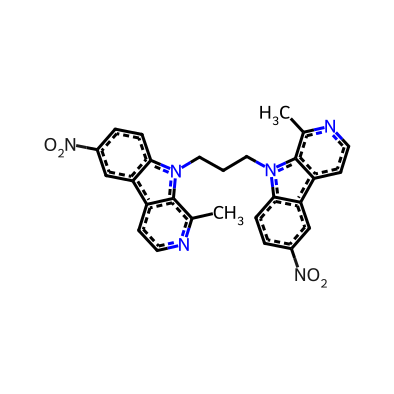 Cc1nccc2c3cc([N+](=O)[O-])ccc3n(CCCn3c4ccc([N+](=O)[O-])cc4c4ccnc(C)c43)c12